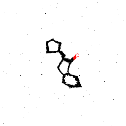 O=C1C(=C2CCCC2)Cc2ccccc21